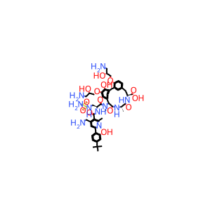 Cc1nc(-c2ccc(C(C)(C)C)cc2O)cc(CN)c1C(=O)N[C@@H](CNS(N)(=O)=O)C(=O)N(C)[C@@H]1C(=O)N[C@@H](C)C(=O)N[C@H](C(=O)O)Cc2ccc(OC[C@H](O)CN)c(c2)-c2cc1cc(OC[C@H](O)CN)c2O